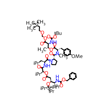 COc1ccc(C[C@@H](C(=O)O[C@H](C)[C@H](NC(=O)OC(C)(C)C)C(=O)OCOCC[Si](C)(C)C)N(C)C(=O)[C@@H]2CCCN2C(=O)[C@H](CC(C)C)NC(=O)[C@@H](OC(=O)C[C@H](O[Si](C(C)C)(C(C)C)C(C)C)[C@H](NC(=O)OCc2ccccc2)C(C)C)C(C)C)cc1